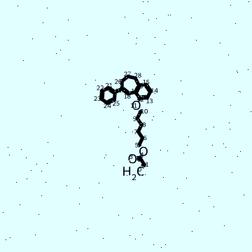 C=CC(=O)OCCCCCCOc1cccc2c1C=C(c1ccccc1)CCC2